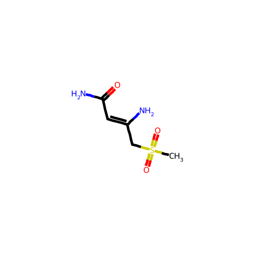 CS(=O)(=O)C/C(N)=C/C(N)=O